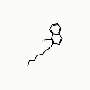 CCCCCCOc1ccc2ccccc2c1Cl